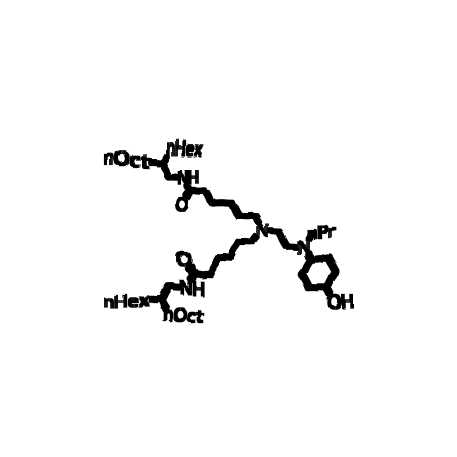 CCCCCCCCC(CCCCCC)CNC(=O)CCCCCN(CCCCCC(=O)NCC(CCCCCC)CCCCCCCC)CCN(CCC)C1CCC(O)CC1